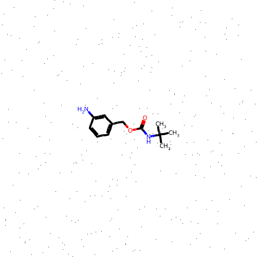 CC(C)(C)NC(=O)OCc1cccc(N)c1